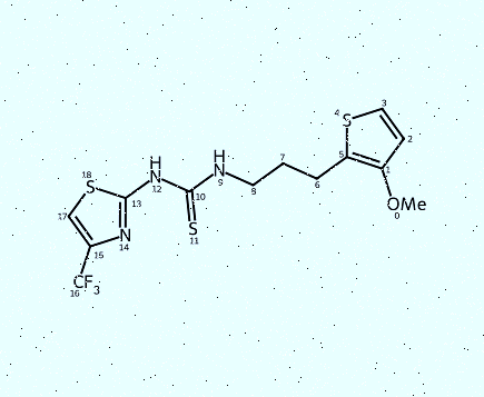 COc1ccsc1CCCNC(=S)Nc1nc(C(F)(F)F)cs1